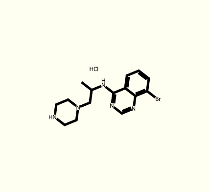 CC(CN1CCNCC1)Nc1ncnc2c(Br)cccc12.Cl